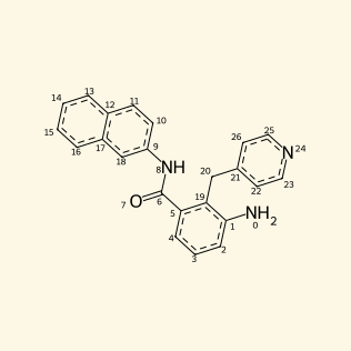 Nc1cccc(C(=O)Nc2ccc3ccccc3c2)c1Cc1ccncc1